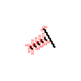 CCCCCCCCCCCCCC(=O)O.OCC(O)CO.OCC(O)CO.OCC(O)CO.OCC(O)CO.OCC(O)CO